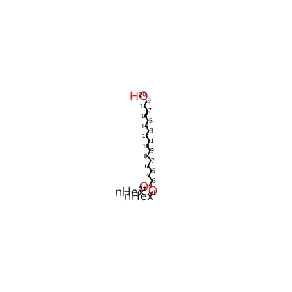 CCCCCCOC(CCCCCCCCCCCCC/C=C/CCO)OCCCCCC